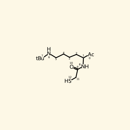 CC(=O)C(CCCCNC(C)(C)C)NC(=O)CS